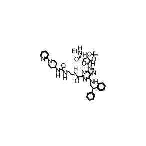 CCNC(=O)[C@H]1O[C@@H](n2cnc3c(NCC(c4ccccc4)c4ccccc4)nc(C(=O)NCCNC(=O)NC4CCN(c5ccccn5)CC4)nc32)[C@@H]2OC(C)(C)O[C@@H]21